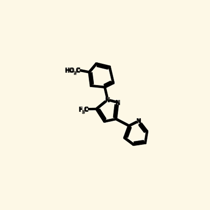 O=C(O)c1cccc(-n2nc(-c3ccccn3)cc2C(F)(F)F)c1